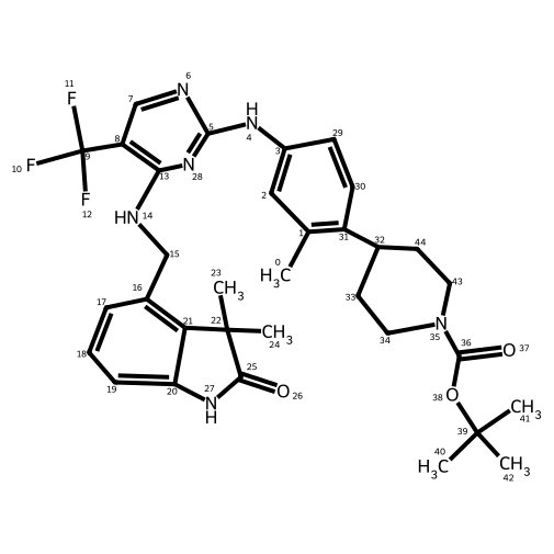 Cc1cc(Nc2ncc(C(F)(F)F)c(NCc3cccc4c3C(C)(C)C(=O)N4)n2)ccc1C1CCN(C(=O)OC(C)(C)C)CC1